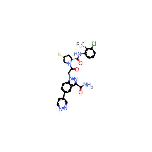 NC(=O)c1nn(CC(=O)N2C[C@H](F)C[C@H]2C(=O)Nc2cccc(Cl)c2C(F)(F)F)c2ccc(-c3ccnnc3)cc12